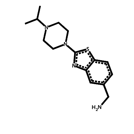 CC(C)N1CCN(c2nc3cc(CN)ccc3s2)CC1